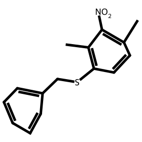 Cc1ccc(SCc2ccccc2)c(C)c1[N+](=O)[O-]